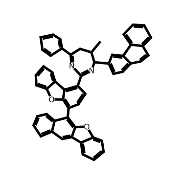 CC1CC(c2ccccc2)=NC(c2ccc(-c3c4ccccc4cc4c3oc3ccccc34)c3oc4ccccc4c23)=NC1c1ccc2ccc3ccccc3c2c1